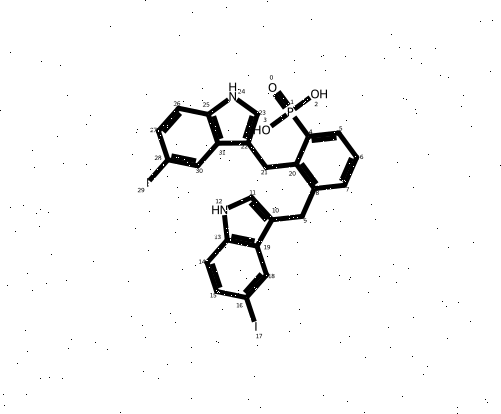 O=P(O)(O)c1cccc(Cc2c[nH]c3ccc(I)cc23)c1Cc1c[nH]c2ccc(I)cc12